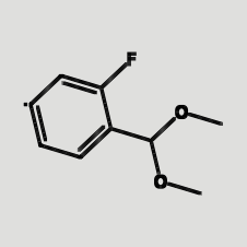 COC(OC)c1cc[c]cc1F